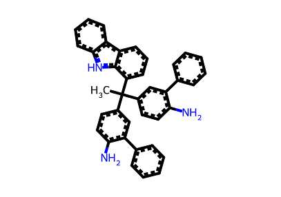 CC(c1ccc(N)c(-c2ccccc2)c1)(c1ccc(N)c(-c2ccccc2)c1)c1cccc2c1[nH]c1ccccc12